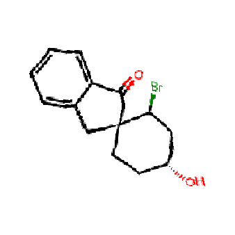 O=C1c2ccccc2C[C@@]12CC[C@@H](O)C[C@@H]2Br